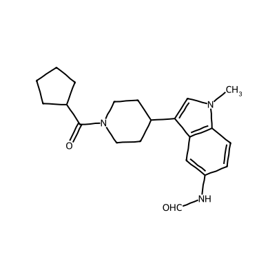 Cn1cc(C2CCN(C(=O)C3CCCC3)CC2)c2cc(NC=O)ccc21